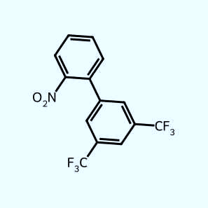 O=[N+]([O-])c1ccccc1-c1cc(C(F)(F)F)cc(C(F)(F)F)c1